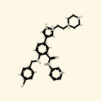 O=C(Nc1cccnc1)c1cc(-c2cnn(CCN3CCOCC3)c2)ccc1OCc1ccc(I)cc1